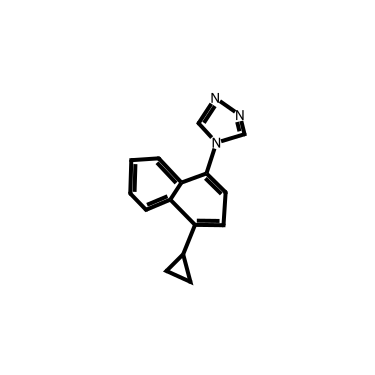 c1ccc2c(-n3cnnc3)ccc(C3CC3)c2c1